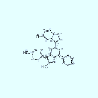 Cc1nc2c(-c3ccncc3)nc(N3C=NC4C=CC(Cl)=CC43)nc2n1C1CCC(O)CC1